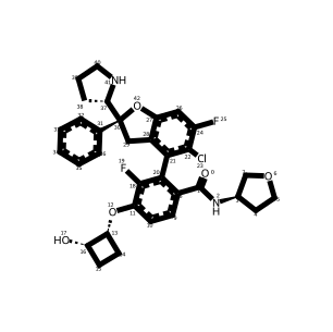 O=C(N[C@@H]1CCOC1)c1ccc(O[C@@H]2CC[C@@H]2O)c(F)c1-c1c(Cl)c(F)cc2c1C[C@](c1ccccc1)([C@@H]1CCCN1)O2